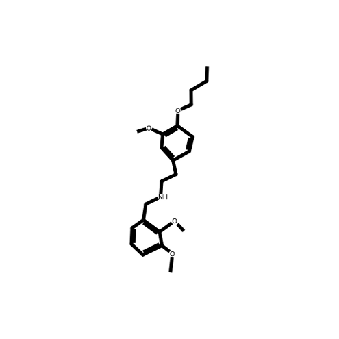 CCCCOc1ccc(CCNCc2cccc(OC)c2OC)cc1OC